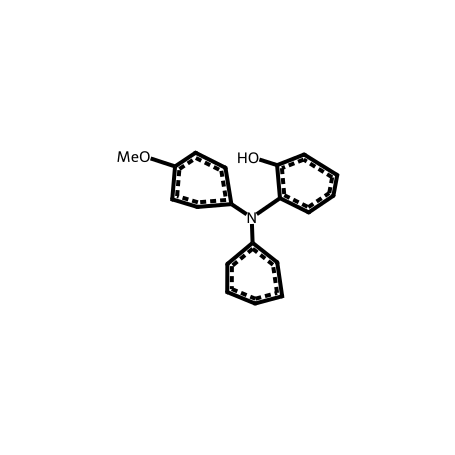 COc1ccc(N(c2ccccc2)c2ccccc2O)cc1